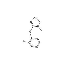 CN1CCN=C1Oc1ccccc1F